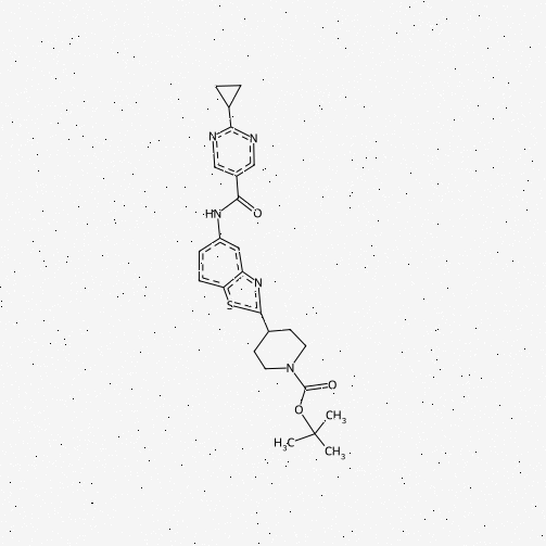 CC(C)(C)OC(=O)N1CCC(c2nc3cc(NC(=O)c4cnc(C5CC5)nc4)ccc3s2)CC1